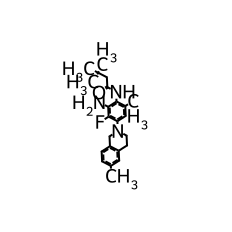 Cc1ccc2c(c1)CCN(c1cc(C)c(NC(=O)CC(C)(C)C)c(N)c1F)C2